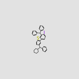 Ic1ccc2c(sc3ccc(C(c4ccccc4)C4CCCCC4)cc32)c1C(c1ccccc1)c1ccccc1